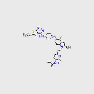 C=CC(=C)Nc1ccc(CCn2c(C#N)cc3c(C)c(CN4CCC(Nc5ncnc6sc(CC(F)(F)F)cc56)CC4)ccc32)nc1C